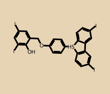 Oc1c(I)cc(I)cc1COc1ccc([SH]2c3ccc(I)cc3-c3cc(I)ccc32)cc1